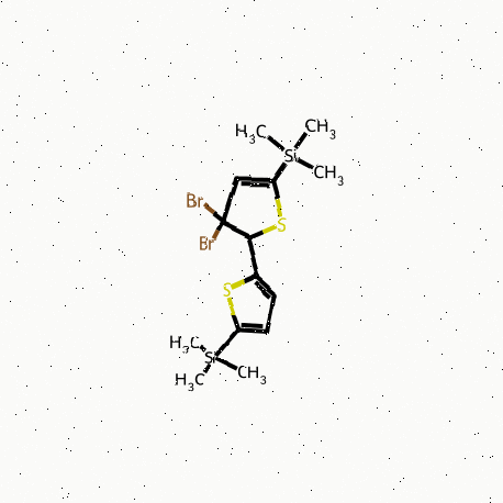 C[Si](C)(C)C1=CC(Br)(Br)C(c2ccc([Si](C)(C)C)s2)S1